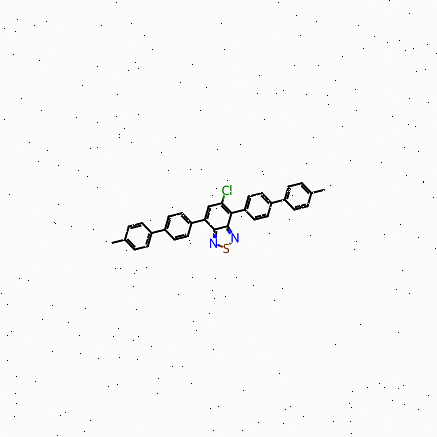 Cc1ccc(-c2ccc(-c3cc(Cl)c(-c4ccc(-c5ccc(C)cc5)cc4)c4nsnc34)cc2)cc1